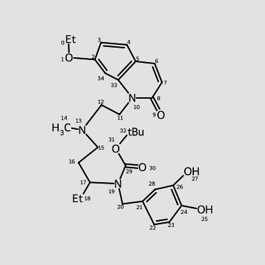 CCOc1ccc2ccc(=O)n(CCN(C)CCC(CC)N(Cc3ccc(O)c(O)c3)C(=O)OC(C)(C)C)c2c1